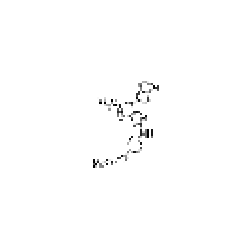 COCCOC1CCC(Nc2ncc3c(n2)CN[C@H](C)C=C3c2ccc3ncccc3c2)CC1